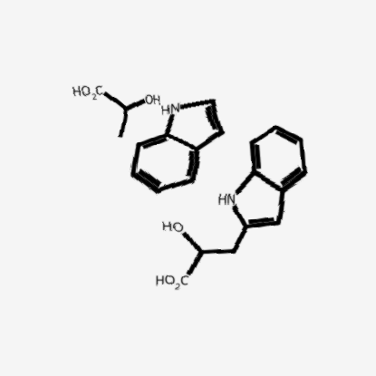 CC(O)C(=O)O.O=C(O)C(O)Cc1cc2ccccc2[nH]1.c1ccc2[nH]ccc2c1